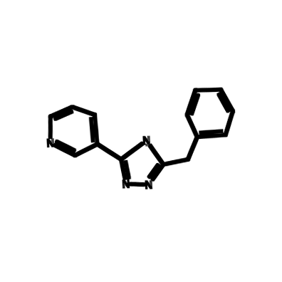 c1ccc(CC2=NN=C(c3cccnc3)[N]2)cc1